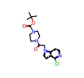 CC(C)(C)OC(=O)N1CCN(C(=O)Cn2ccc3c(Cl)nccc32)CC1